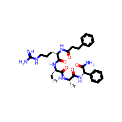 CC(C)C[C@H](NC(=O)[C@H](CCCNC(=N)N)NC(=O)CCc1ccccc1)C(=O)N[C@H](C(=O)N[C@H](C(N)=O)c1ccccc1)C(C)C